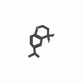 CC(C)c1ccc2c(c1)C(F)(F)CCO2